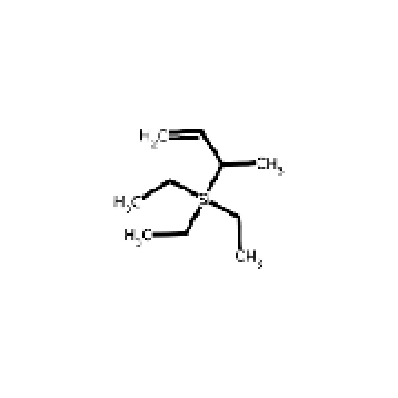 C=CC(C)[Si](CC)(CC)CC